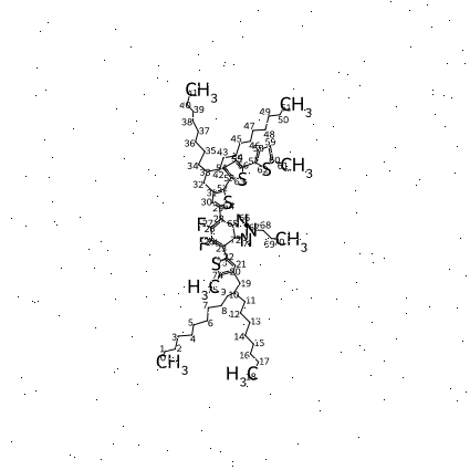 CCCCCCCCCCC(CCCCCCCC)Cc1cc(-c2c(F)c(F)c(-c3cc(CC(CCCCCCCC)CCCCCCCCCC)c(-c4ccc(-c5ccc(C)s5)s4)s3)c3nn(CCC)nc23)sc1C